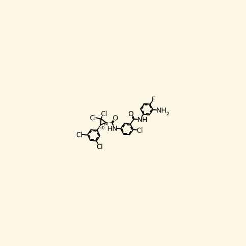 Nc1cc(NC(=O)c2cc(NC(=O)[C@@H]3[C@@H](c4cc(Cl)cc(Cl)c4)C3(Cl)Cl)ccc2Cl)ccc1F